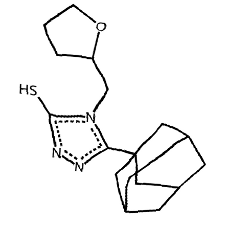 Sc1nnc(C23CC4CC(CC(C4)C2)C3)n1CC1CCCO1